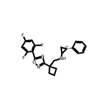 Fc1cc(F)c(-c2nc(C3(CNC4C[C@@H]4c4ccccc4)CCC3)no2)c(F)c1